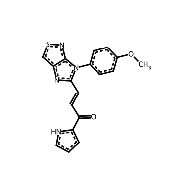 COc1ccc(-n2c(C=CC(=O)c3ccc[nH]3)nc3csnc32)cc1